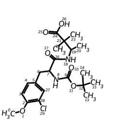 COc1ccc(CC(NC(=O)OC(C)(C)C)C(=O)NC(C)C(C)(C)C(=O)O)cc1Cl